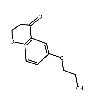 CCCOc1ccc2c(c1)C(=O)CCO2